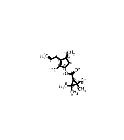 C=CCC1=C(C)[C@@H](OC(=O)C2C(C)(C)C2(C)C)CC1=C